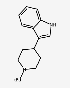 CC(C)(C)N1CCC(c2c[nH]c3ccccc23)CC1